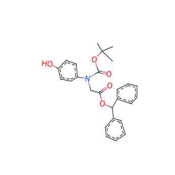 CC(C)(C)OC(=O)N(CC(=O)OC(c1ccccc1)c1ccccc1)c1ccc(O)cc1